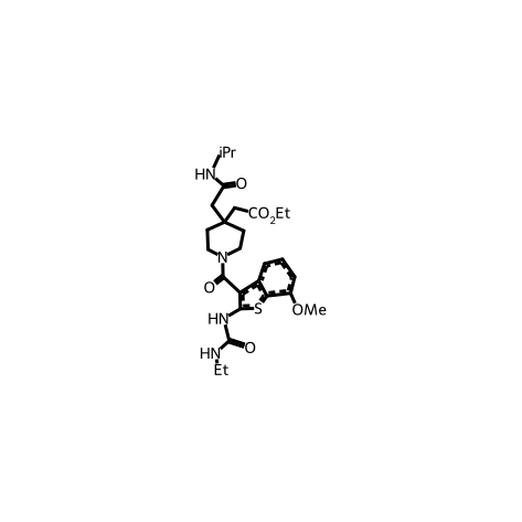 CCNC(=O)Nc1sc2c(OC)cccc2c1C(=O)N1CCC(CC(=O)NC(C)C)(CC(=O)OCC)CC1